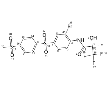 C[C@@](O)(C(=O)Nc1ccc(S(=O)(=O)c2ccc(S(C)(=O)=O)cc2)cc1Br)C(F)(F)F